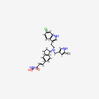 CCc1cc(CN(CCc2c[nH]c3cc(Cl)ccc23)C2CCc3cc(/C=C/C(=O)NO)ccc32)c[nH]1